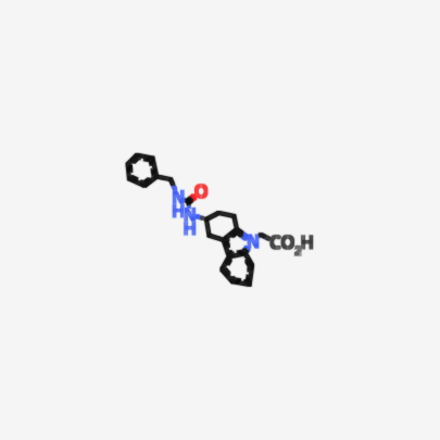 O=C(O)Cn1c2c(c3ccccc31)C[C@@H](NC(=O)NCc1ccccc1)CC2